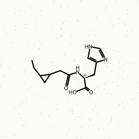 CCC1CC1CC(=O)N[C@@H](Cc1c[nH]cn1)C(=O)O